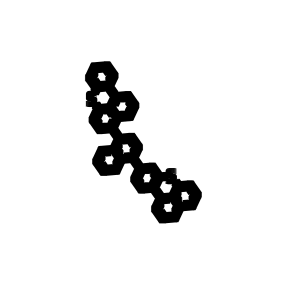 c1ccc2c(c1)Sc1ccc(-c3ccc(-c4ccc5c(c4)Sc4cccc6cccc-5c46)c4ccccc34)c3cccc-2c13